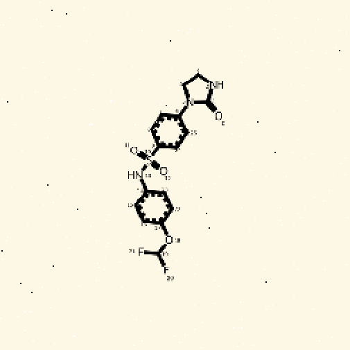 O=C1NCCN1c1ccc(S(=O)(=O)Nc2ccc(OC(F)F)cc2)cc1